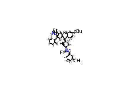 CCN(Cc1cccc(C)c1)c1ccc(C(=C2C=CC(=[N+](CC)Cc3cccc(C)c3)C=C2)c2ccc(C(C)(C)C)cc2S(=O)(=O)O)cc1